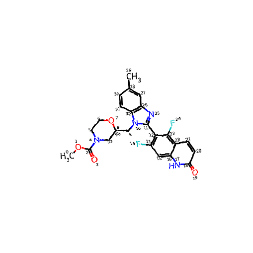 COC(=O)N1CCO[C@@H](Cn2c(-c3c(F)cc4[nH]c(=O)ccc4c3F)nc3cc(C)ccc32)C1